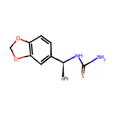 CCC[C@H](NC(N)=S)c1ccc2c(c1)OCO2